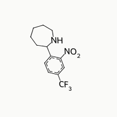 O=[N+]([O-])c1cc(C(F)(F)F)ccc1C1CCCCCN1